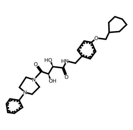 O=C(NCc1ccc(OCC2CCCCC2)cc1)[C@H](O)[C@@H](O)C(=O)N1CCN(c2ccccc2)CC1